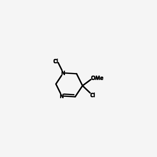 COC1(Cl)C=NCN(Cl)C1